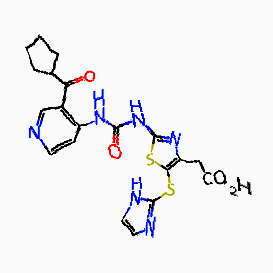 O=C(O)Cc1nc(NC(=O)Nc2ccncc2C(=O)C2CCCC2)sc1Sc1ncc[nH]1